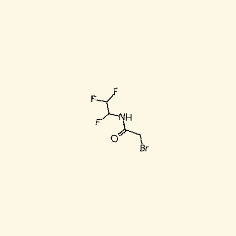 O=C(CBr)NC(F)C(F)F